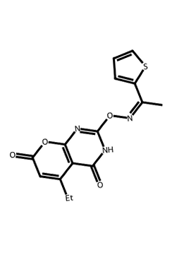 CCc1cc(=O)oc2nc(O/N=C(/C)c3cccs3)[nH]c(=O)c12